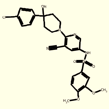 COc1ccc(S(=O)(=O)Nc2cnc(N3CCC(O)(c4ccc(Cl)cc4)CC3)c(C#N)c2)cc1OC